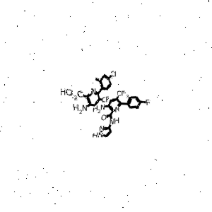 Cc1cc(Cl)ccc1-c1nc(C(=O)O)c(N)cc1C(F)(F)F.Nc1cc(C(F)(F)F)c(-c2ccc(F)cc2)nc1C(=O)Nc1cc[nH]n1